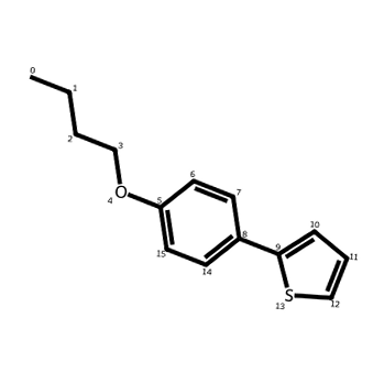 CCCCOc1ccc(-c2cccs2)cc1